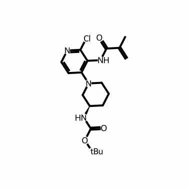 C=C(C)C(=O)Nc1c(N2CCC[C@@H](NC(=O)OC(C)(C)C)C2)ccnc1Cl